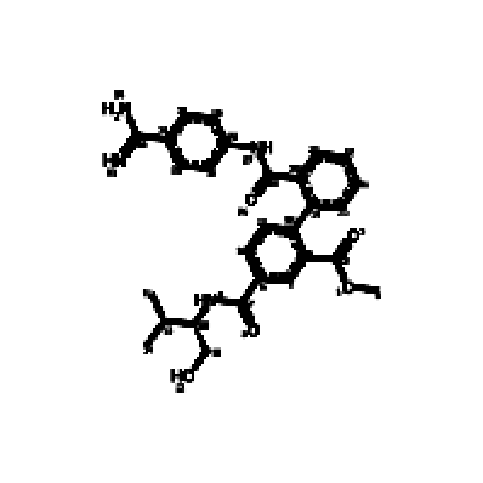 COC(=O)c1cc(C(=O)N[C@@H](CO)C(C)C)ccc1-c1ccccc1C(=O)Nc1ccc(C(=N)N)cc1